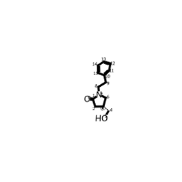 O=C1C[C@@H](CO)CN1CCc1ccccc1